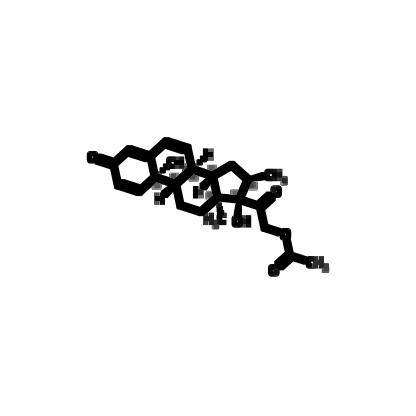 CC(=O)OCC(=O)[C@@]1(O)[C@H](C)C[C@H]2[C@@H]3C=CC4=CC(=O)C=C[C@]4(C)[C@H]3CC[C@@]21C